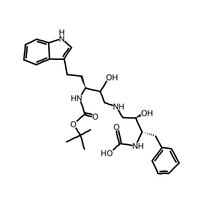 CC(C)(C)OC(=O)N[C@@H](CCc1c[nH]c2ccccc12)C(O)CNC[C@@H](O)[C@H](Cc1ccccc1)NC(=O)O